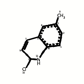 Cc1ccc2c(c1)C=CC(Cl)N2